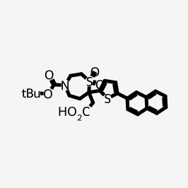 CC(C)(C)OC(=O)N1CCC(CC(=O)O)(c2ccc(-c3ccc4ccccc4c3)s2)S(=O)(=O)CC1